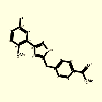 COC(=O)c1ccc(Cc2nc(-c3cc(C)ccc3OC)cs2)cc1